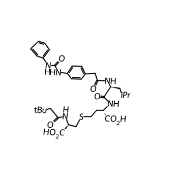 CC(C)C[C@H](NC(=O)Cc1ccc(NC(=O)Nc2ccccc2)cc1)C(=O)N[C@@H](CCSC[C@H](NC(=O)CC(C)(C)C)C(=O)O)C(=O)O